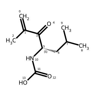 C=C(C)C(=O)[C@H](CC(C)C)NC(=O)O